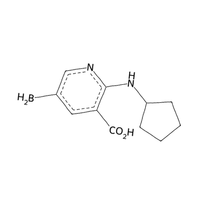 Bc1cnc(NC2CCCC2)c(C(=O)O)c1